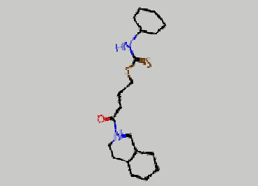 O=C(CCCSC(=S)NC1CCCCC1)N1CCC2CCCCC2C1